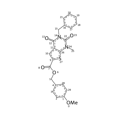 COc1ccc(COC(=O)c2cc3c(=O)n(Cc4ccccc4)c(=O)n(C)c3s2)cc1